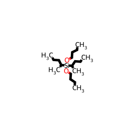 CCCCO[Si](OCCCC)(C(C)CCC)C(C)CCC